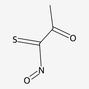 CC(=O)C(=S)N=O